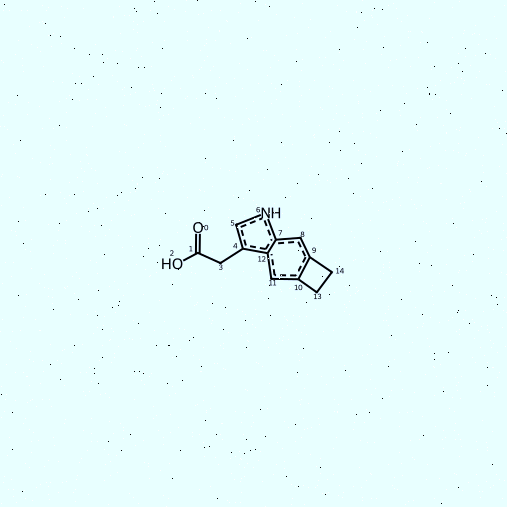 O=C(O)Cc1c[nH]c2cc3c(cc12)CC3